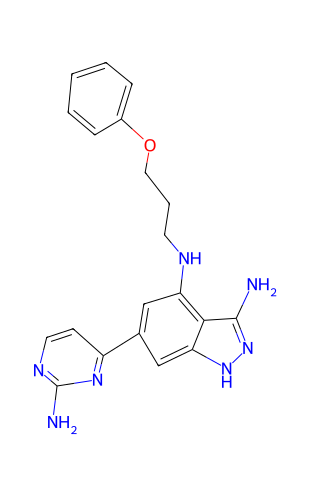 Nc1nccc(-c2cc(NCCCOc3ccccc3)c3c(N)n[nH]c3c2)n1